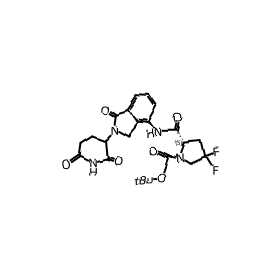 CC(C)(C)OC(=O)N1CC(F)(F)C[C@H]1C(=O)Nc1cccc2c1CN(C1CCC(=O)NC1=O)C2=O